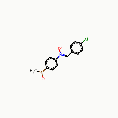 C[S+]([O-])c1ccc([N+]([O-])=Cc2ccc(Cl)cc2)cc1